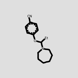 CCC(Oc1ccc(C#N)cc1)N1CCCCCC1